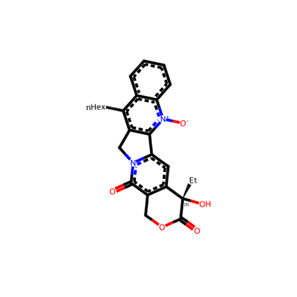 CCCCCCc1c2c([n+]([O-])c3ccccc13)-c1cc3c(c(=O)n1C2)COC(=O)[C@]3(O)CC